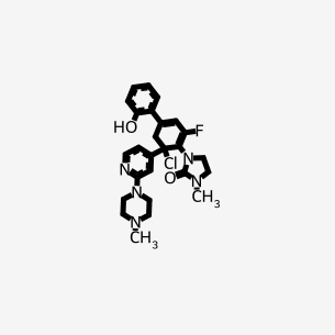 CN1CCN(c2cc(C3(Cl)CC(c4ccccc4O)=CC(F)=C3N3CCN(C)C3=O)ccn2)CC1